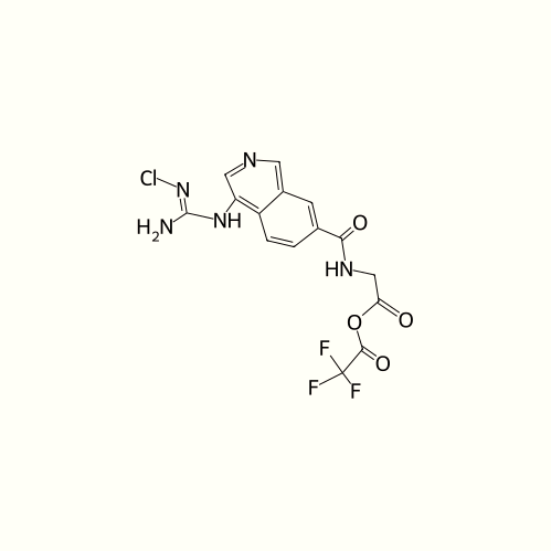 NC(=NCl)Nc1cncc2cc(C(=O)NCC(=O)OC(=O)C(F)(F)F)ccc12